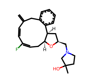 C=C1/C=C\C(F)=C/C[C@@H]2O[C@H](CN3CCC(C)(O)C3)C[C@@H]2c2ccccc2C1